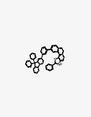 c1ccc(C2Nc3ccc4ccc5ccc(-c6cccc(-c7ccc8c(c7)C(c7ccccc7)(c7ccccc7)c7ccccc7-8)c6)cc5c4c3S2)cc1